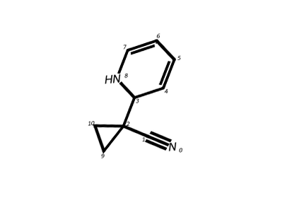 N#CC1(C2C=C[C]=CN2)CC1